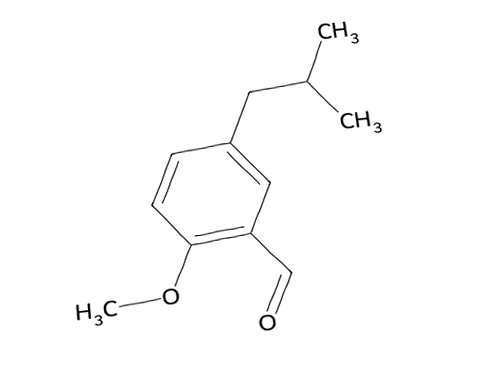 COc1ccc(CC(C)C)cc1C=O